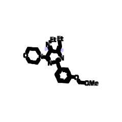 CC/C=C1/N=C(c2cccc(OCOC)c2)N=C(N2CCOCC2)/C1=N/CC